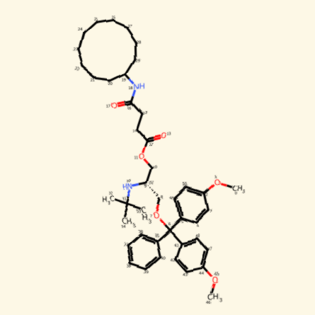 COc1ccc(C(OC[C@@H](COC(=O)CCC(=O)NC2CCCCCCCCCC2)NC(C)(C)C)(c2ccccc2)c2ccc(OC)cc2)cc1